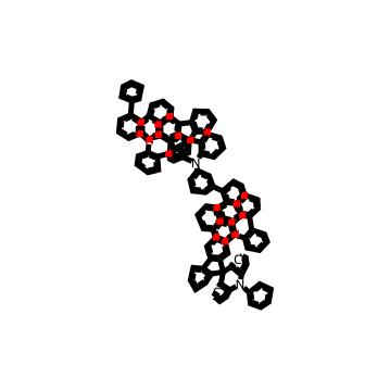 c1ccc(-c2cccc(N(c3ccc4c(c3)C3(c5ccccc5-4)c4ccccc4N(c4cccc(-c5cccc6cc(N(c7ccc8c(c7)C7(c9ccccc9-8)c8ccccc8N(c8ccccc8)c8ccccc87)c7ccccc7-c7ccccc7-c7cccc8ccccc78)ccc56)c4)c4ccccc43)c3ccccc3-c3ccccc3-c3cccc4ccccc34)c2)cc1